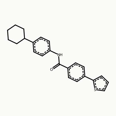 O=C(Nc1ccc(C2CCCCC2)cc1)c1ccc(-c2cccs2)cc1